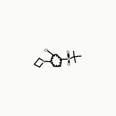 CC(C)(C)S(=O)(=O)c1ccc(N2CCC2)c(Cl)c1